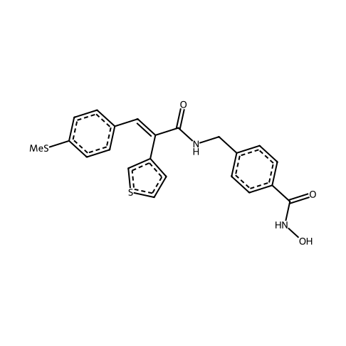 CSc1ccc(C=C(C(=O)NCc2ccc(C(=O)NO)cc2)c2ccsc2)cc1